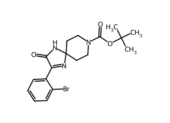 CC(C)(C)OC(=O)N1CCC2(CC1)N=C(c1ccccc1Br)C(=O)N2